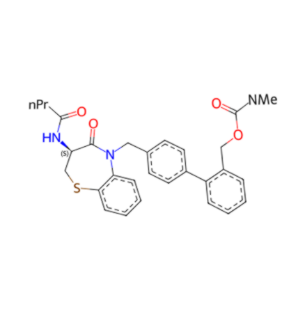 CCCC(=O)N[C@@H]1CSc2ccccc2N(Cc2ccc(-c3ccccc3COC(=O)NC)cc2)C1=O